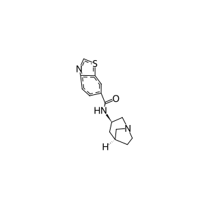 O=C(N[C@@H]1C[C@@H]2CCN(C2)C1)c1ccc2ncsc2c1